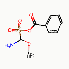 CCCOC(N)S(=O)(=O)OC(=O)c1ccccc1